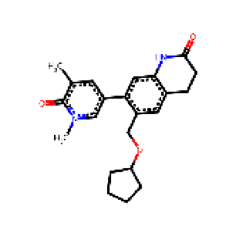 Cc1cc(-c2cc3c(cc2COC2CCCC2)CCC(=O)N3)cn(C)c1=O